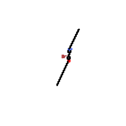 CCCCCCCCCCCCCCCCCCCCCCOc1ccc(C=Cc2cc[n+](CCCCCCCCCCCCCCCCCC)cc2)cc1.[Br-]